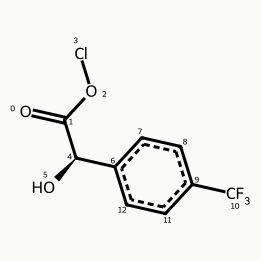 O=C(OCl)[C@H](O)c1ccc(C(F)(F)F)cc1